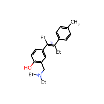 CC/C(=C(/CC)c1ccc(O)c(CN(CC)CC)c1)c1ccc(C)cc1